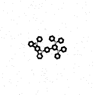 C1=CCC2C(=C1)N(c1ccc(-c3cc(N(c4ccccc4)c4ccccc4)cc(N(c4ccccc4)c4ccccc4)c3)cc1)c1cc3c(cc12)c1ccccc1n3-c1ccccc1